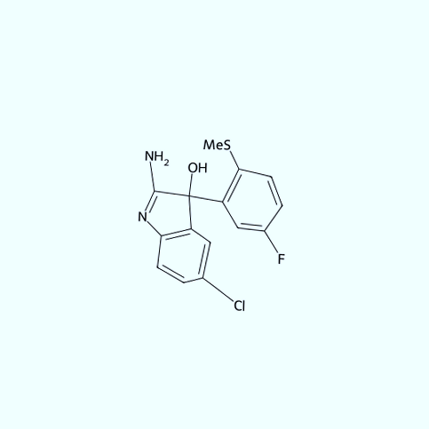 CSc1ccc(F)cc1C1(O)C(N)=Nc2ccc(Cl)cc21